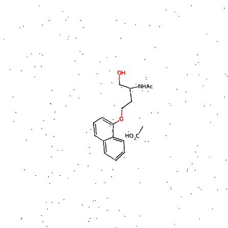 CC(=O)NC(CO)CCOc1cccc2ccccc12.CC(=O)O